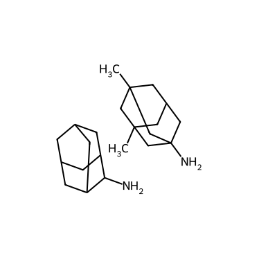 CC12CC3CC(C)(C1)CC(N)(C3)C2.NC1C2CC3CC(C2)CC1C3